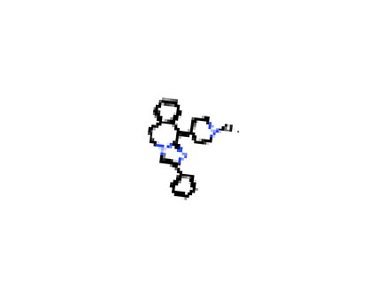 CN1CCC(=C2c3ccccc3CCn3cc(-c4ccccc4)nc32)CC1